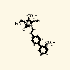 CCCCc1c(C(=O)O)n(CC(C)C)c(=O)n1CCc1ccc(-c2ccccc2C(=O)O)cc1